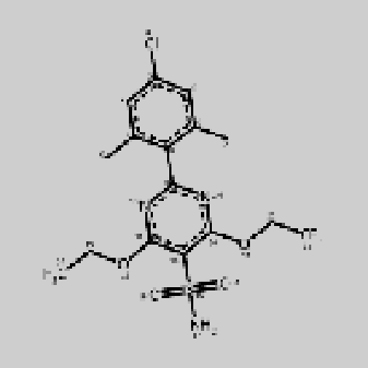 Cc1cc(Cl)cc(C)c1-c1nc(OCC(F)(F)F)c(S(N)(=O)=O)c(OCC(F)(F)F)n1